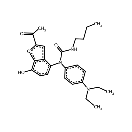 CCCCNC(=O)N(c1ccc(N(CC)CC)cc1)c1ccc(O)c2oc(C(C)=O)cc12